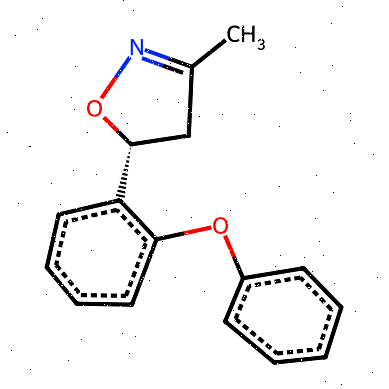 CC1=NO[C@@H](c2ccccc2Oc2ccccc2)C1